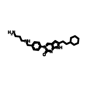 NCCCNCc1ccc(-n2cc3cc(CCC4CCCCC4)[nH]c3nc2=O)cc1